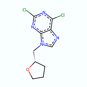 Clc1nc(Cl)c2ncn(C[C@@H]3CCCO3)c2n1